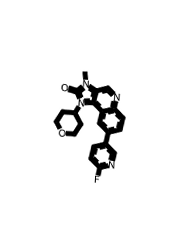 Cn1c(=O)n(C2CCOCC2)c2c3cc(-c4ccc(F)nc4)ccc3ncc21